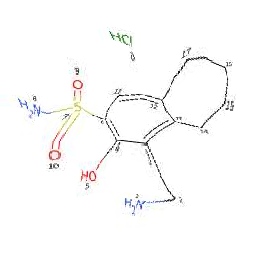 Cl.NCc1c(O)c(S(N)(=O)=O)cc2c1CCCC2